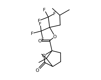 CC(C)CC(OC(=O)C12CCC(C(=O)O1)C2(C)C)(C(F)(F)F)C(F)(F)F